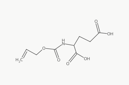 C=CCOC(=O)NC(CCC(=O)O)C(=O)O